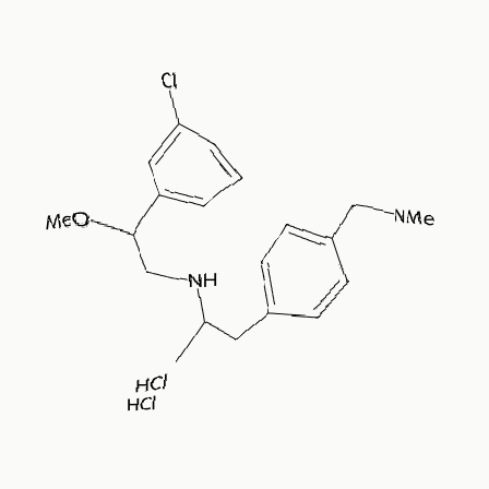 CNCc1ccc(CC(C)NCC(OC)c2cccc(Cl)c2)cc1.Cl.Cl